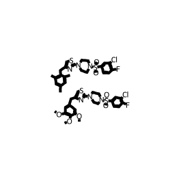 COc1cc(Cc2csc(N3CCN(S(=O)(=O)c4ccc(F)c(Cl)c4)CC3)n2)cc(OC)c1OC.Cc1cc(C)c(Cc2csc(N3CCN(S(=O)(=O)c4ccc(F)c(Cl)c4)CC3)n2)c(C)c1